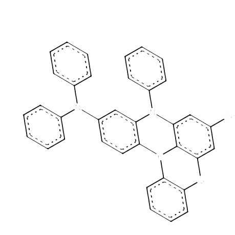 Cc1cc2c3c(c1)N(c1ccccc1)c1cc(N(c4ccccc4)c4ccccc4)ccc1B3c1ccccc1O2